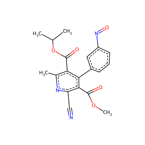 COC(=O)c1c(C#N)nc(C)c(C(=O)OC(C)C)c1-c1cccc(N=O)c1